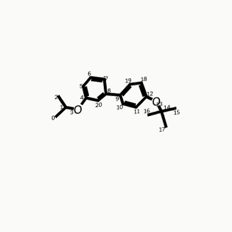 CC(C)Oc1cc[c]c(-c2ccc(OC(C)(C)C)cc2)c1